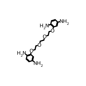 Nc1ccc(N)c(OCCOCCOCCOc2cc(N)ccc2N)c1